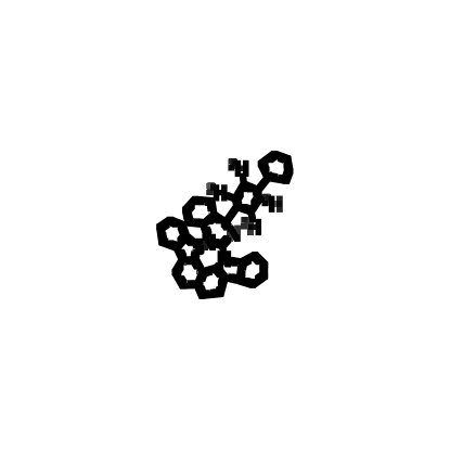 [2H]c1c([2H])c(-c2nc(-n3c4ccccc4c4ccc5ccc6c7ccccc7sc6c5c43)nc3ccccc23)c([2H])c([2H])c1-c1ccccc1